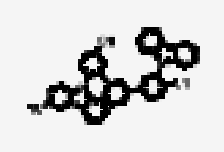 N#Cc1ccc(-n2c3ccccc3c3cc(C#N)ccc32)c(-c2cccc(-c3ccc(C#N)c(-n4c5ccccc5c5ccccc54)c3)c2)c1